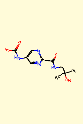 CC(C)(O)CNC(=O)c1ncc(NC(=O)O)cn1